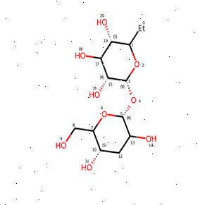 CCC1O[C@H](O[C@H]2OC(CO)[C@@H](O)CC2O)[C@H](O)C(O)[C@@H]1O